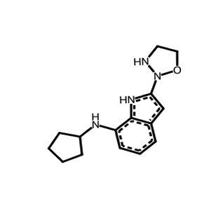 c1cc(NC2CCCC2)c2[nH]c(N3NCCO3)cc2c1